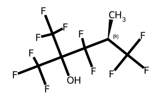 C[C@@H](C(F)(F)F)C(F)(F)C(O)(C(F)(F)F)C(F)(F)F